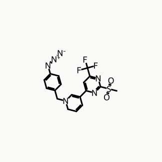 CS(=O)(=O)c1nc(C2=CN(Cc3ccc(N=[N+]=[N-])cc3)CC=C2)cc(C(F)(F)F)n1